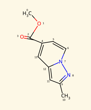 COC(=O)c1ccn2nc(C)cc2c1